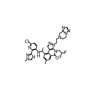 Cc1cc(C(C)Nc2ccc(Cl)nc2-c2ncn(C)n2)c2c(c1)c(=O)n(CC(F)F)c1c2cnn1CCN1CCn2ncnc2C1